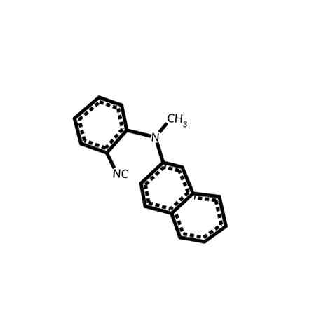 [C-]#[N+]c1ccccc1N(C)c1ccc2ccccc2c1